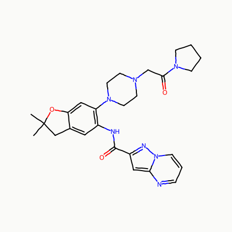 CC1(C)Cc2cc(NC(=O)c3cc4ncccn4n3)c(N3CCN(CC(=O)N4CCCC4)CC3)cc2O1